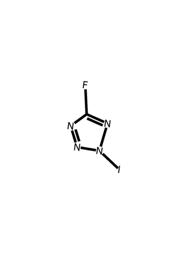 Fc1nnn(I)n1